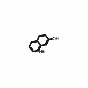 Br.Oc1ccc2ccccc2c1